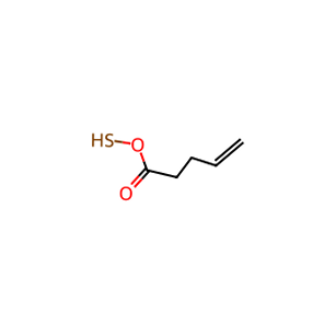 C=CCCC(=O)OS